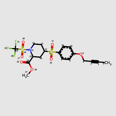 CC#CCOc1ccc(S(=O)(=O)C2CCN(S(=O)(=O)C(F)(F)F)C(C(=O)OC)C2)cc1